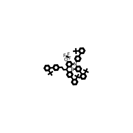 CC(C)(C)c1ccccc1-c1ccc(CCC2c3ccc(-c4ccccc4C(C)(C)C)cc3B3c4cc(-c5ccccc5C(C)(C)C)ccc4N(c4ccc(-c5ccccc5C(C)(C)C)cc4)c4cc(OC(F)(F)F)cc2c43)cc1